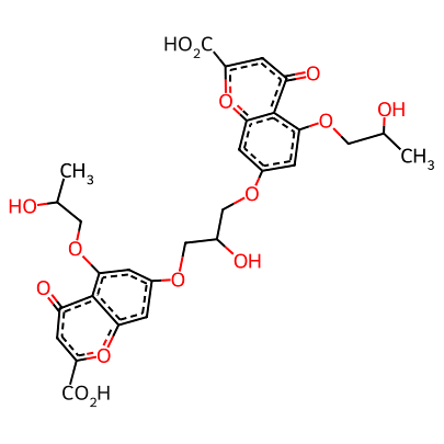 CC(O)COc1cc(OCC(O)COc2cc(OCC(C)O)c3c(=O)cc(C(=O)O)oc3c2)cc2oc(C(=O)O)cc(=O)c12